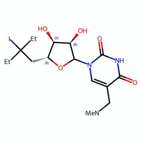 CCC(I)(CC)C[C@H]1OC(n2cc(CNC)c(=O)[nH]c2=O)[C@H](O)[C@@H]1O